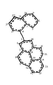 c1ccc2c(-c3cc4ccc5cccc6ccc(c3)c4c56)cccc2c1